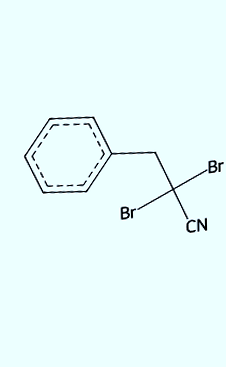 N#CC(Br)(Br)Cc1ccccc1